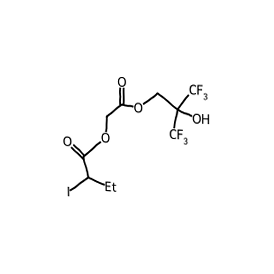 CCC(I)C(=O)OCC(=O)OCC(O)(C(F)(F)F)C(F)(F)F